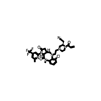 C=CC(=O)N1CCN(CCN2C[C@H]3CC(=O)N(c4cc(C(F)(F)F)cc(C)n4)[C@@H]3C(=O)N(C)c3cccc(Cl)c32)C[C@H]1CC#N